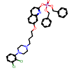 O=P(OCc1ccccc1)(OCc1ccccc1)Oc1ccc2ccc(OCCCCN3CCN(c4cccc(Cl)c4Cl)CC3)cc2n1